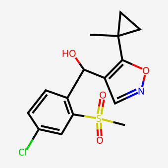 CC1(c2oncc2C(O)c2ccc(Cl)cc2S(C)(=O)=O)CC1